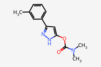 Cc1cccc(-c2cc(OC(=O)N(C)C)[nH]n2)c1